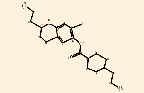 CCCC1CCC(C(=O)Oc2cc3c(cc2F)OC(CCC)CC3)CC1